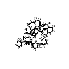 C1=Cc2ccc(-c3nc(-c4ccccc4)nc(-c4cccc(-c5ccccc5)c4)n3)cc2C2(c3ccccc31)c1ccccc1-c1c2cc2ccc3cccc4ccc1c2c34